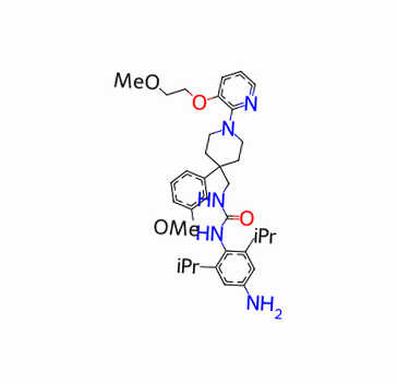 COCCOc1cccnc1N1CCC(CNC(=O)Nc2c(C(C)C)cc(N)cc2C(C)C)(c2cccc(OC)c2)CC1